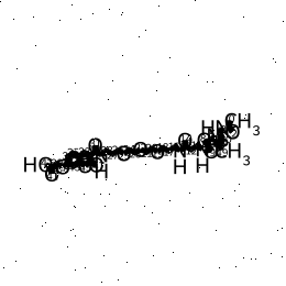 CC(=O)Nc1nc(S(=O)(=O)NCCC(=O)NCCCOCCOCCOCCCNC(=O)c2cc3ccc(OCC(=O)O)cc3oc2=O)c(C)s1